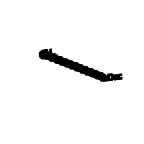 CCCCCCCCCCCCOCCOCCOCCOCCOCCOCCOCCOCCOCCOCCOCCOCCOCCOCCOCCOCCOCCOCCOCCOCCOCCOCCOCCOS(C)(=O)=O